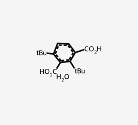 CC(C)(C)c1ccc(C(=O)O)c(C(C)(C)C)c1C(=O)O.O